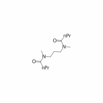 CCCC(=O)N(C)CCCN(C)C(=O)CCC